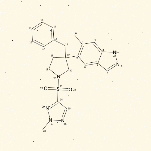 Cc1cc2[nH]ncc2cc1C1(Cc2ccccc2)CCN(S(=O)(=O)c2cnn(C)n2)C1